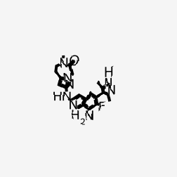 Cc1n[nH]c(C)c1-c1cc2cc(Nc3cc4n(n3)CC(=O)N(C)CC4)ncc2c(N)c1F